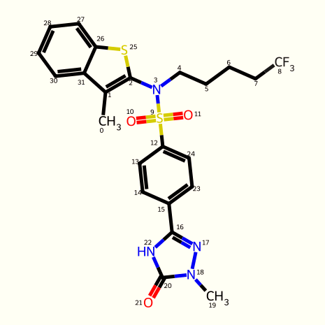 Cc1c(N(CCCCC(F)(F)F)S(=O)(=O)c2ccc(-c3nn(C)c(=O)[nH]3)cc2)sc2ccccc12